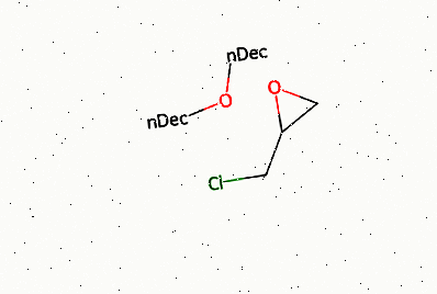 CCCCCCCCCCOCCCCCCCCCC.ClCC1CO1